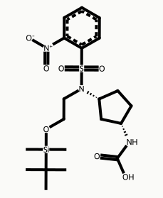 CC(C)(C)[Si](C)(C)OCCN([C@@H]1CC[C@H](NC(=O)O)C1)S(=O)(=O)c1ccccc1[N+](=O)[O-]